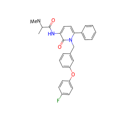 CNC(C)C(=O)Nc1ccc(-c2ccccc2)n(Cc2cccc(Oc3ccc(F)cc3)c2)c1=O